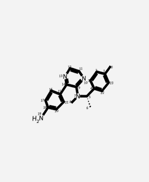 Cc1ccc([C@H](C)N(C)c2nccnc2-c2ccc(N)cc2)cc1